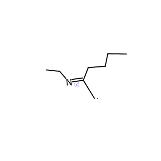 [CH2]/C(CCCC)=N/CC